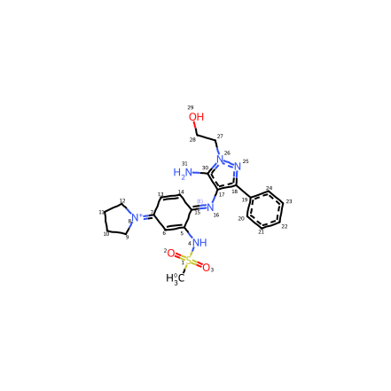 CS(=O)(=O)NC1=CC(=[N+]2CCCC2)C=C/C1=N\c1c(-c2ccccc2)nn(CCO)c1N